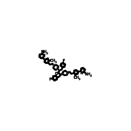 Cc1cc(-c2cccc(N)n2)ccc1CCN1CCN(C(Cc2ccc(F)cc2)C(=O)C(Cc2ccc(F)cc2)N2CCN(CCc3ccc(-c4cccc(N)n4)cc3C)CC2)CC1